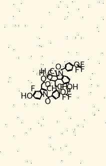 CCC(C(=O)OC(=O)Cc1c(C)n(C(=O)c2ccc(OC(F)(F)F)cc2)c2ccc(O)c(F)c12)C1c2c(ccc(O)c2F)N(C(=O)c2ccc(OC(F)(F)F)cc2)C1(CC)CC